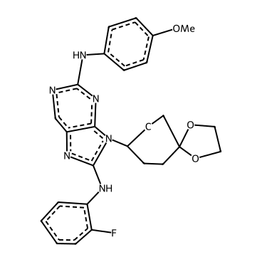 COc1ccc(Nc2ncc3nc(Nc4ccccc4F)n(C4CCC5(CC4)OCCO5)c3n2)cc1